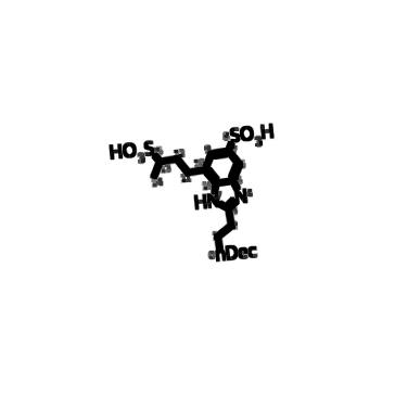 CCCCCCCCCCCCc1nc2cc(S(=O)(=O)O)cc(CCC(C)S(=O)(=O)O)c2[nH]1